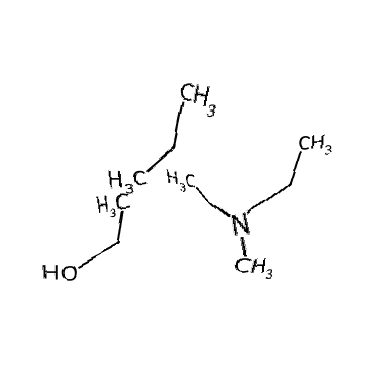 CCC.CCN(C)C.CCO